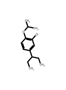 CCC(CC)c1ccc(OC(C)C)c(Cl)c1